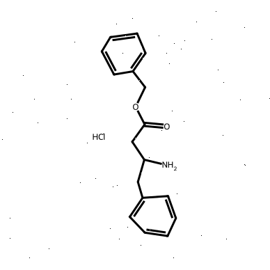 Cl.NC(CC(=O)OCc1ccccc1)Cc1ccccc1